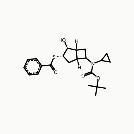 CC(C)(C)OC(=O)N(C1CC1)C1C[C@H]2[C@H](O)[C@@H](SC(=O)c3ccccc3)C[C@@H]12